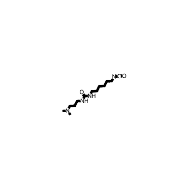 CN(C)CCCNC(=O)NCCCCCCN=C=O